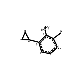 Cc1nccc(C2CC2)c1C(C)C